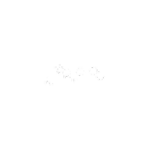 CNc1cc(-c2ccc(-c3cc4nnn(C5CC(C)(C)NC(C)(C)C5)c4nn3)c(O)c2)ccn1